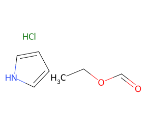 CCOC=O.Cl.c1cc[nH]c1